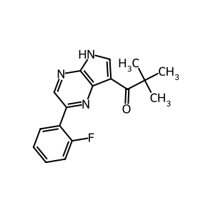 CC(C)(C)C(=O)c1c[nH]c2ncc(-c3ccccc3F)nc12